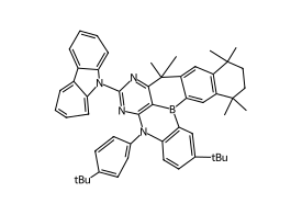 CC(C)(C)c1ccc(N2c3ccc(C(C)(C)C)cc3B3c4cc5c(cc4C(C)(C)c4nc(-n6c7ccccc7c7ccccc76)nc2c43)C(C)(C)CCC5(C)C)cc1